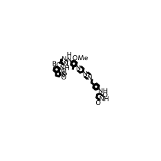 COc1cc(N2CCC(N3CCN(CCc4ccc(NC5CCC(=O)NC5=O)cc4)CC3)CC2)c(C)cc1Nc1ncc(Br)c(Nc2cccc3c2N(S(C)(=O)=O)CC3)n1